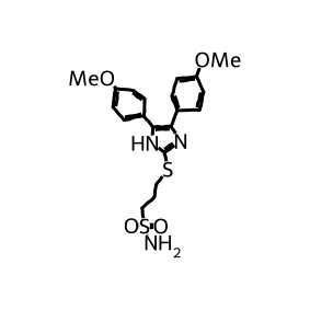 COc1ccc(-c2nc(SCCCS(N)(=O)=O)[nH]c2-c2ccc(OC)cc2)cc1